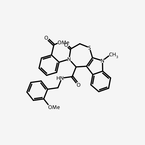 COC(=O)c1ccccc1N1C(=O)CSc2c(c3ccccc3n2C)C1C(=O)NCc1ccccc1OC